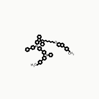 C=Cc1ccc(-c2ccc3cc(OCCCCCCCCC4(C5=CCCC=C5)c5ccccc5-c5ccc(N(c6ccc(-c7ccccc7)cc6)c6ccc(-c7ccc8c(c7)c7cc(-c9ccc(C=C)cc9)ccc7n8-c7ccccc7)cc6)cc54)ccc3c2)cc1